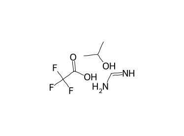 CC(C)O.N=CN.O=C(O)C(F)(F)F